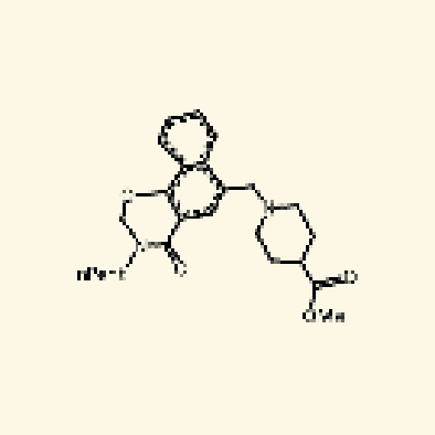 CCCCCN1COc2c(cc(CN3CCC(C(=O)OC)CC3)c3ccccc23)C1=O